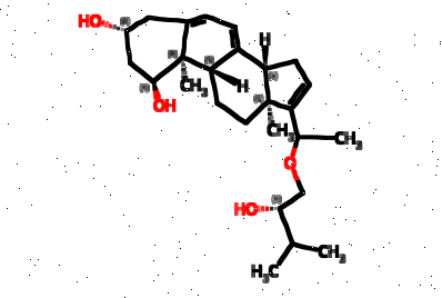 CC(OC[C@@H](O)C(C)C)C1=CC[C@H]2C3=CC=C4C[C@@H](O)C[C@H](O)[C@]4(C)[C@H]3CC[C@]12C